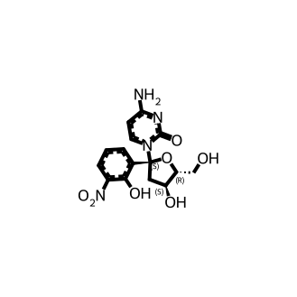 Nc1ccn([C@@]2(c3cccc([N+](=O)[O-])c3O)C[C@H](O)[C@@H](CO)O2)c(=O)n1